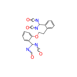 O=C=NC(N=C=O)c1ccccc1CCOc1ccccc1C(N=C=O)N=C=O